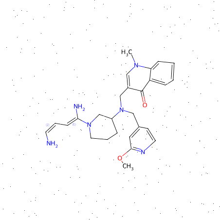 COc1cc(CN(Cc2cn(C)c3ccccc3c2=O)C2CCCN(/C(N)=C/C=C\N)C2)ccn1